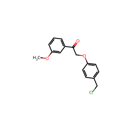 COc1cccc(C(=O)COc2ccc(CCl)cc2)c1